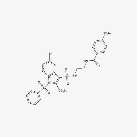 CCOC(=O)c1c(S(=O)(=O)NCCNC(=O)c2ccc(OC)cc2)c2cc(Br)ccc2n1S(=O)(=O)c1ccccc1